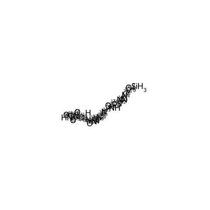 C[C@@H]([SiH3])C1OCC23CCN(c4cnc(Sc5cccc(NC(=O)CCN6CC7(CCN(c8ccc(C(=O)NCc9ccc%10c(c9)CN(C9CCC(=O)NC9=O)C%10=O)nn8)C7)C6)c5)cn4)CC2=C13